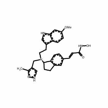 COc1ccc2c(CCN(Cc3c[nH]nc3C)C3CCc4cc(C=CC(=O)NO)ccc43)c[nH]c2c1